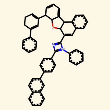 C1=CC(C2=CCCC(c3ccccc3)=C2)C2OC3C(C4=NC(c5ccc(-c6ccc7ccccc7c6)cc5)=[N+]4c4ccccc4)=Cc4ccccc4C3C2=C1